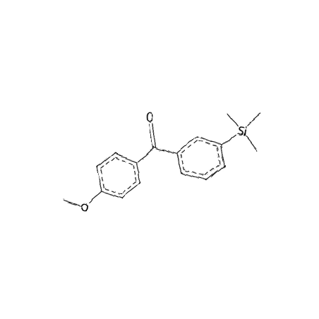 COc1ccc(C(=O)c2cccc([Si](C)(C)C)c2)cc1